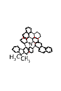 CC1(C)c2ccccc2-c2c(-c3ccccc3N(c3ccccc3-c3cccc4c3ccc3ccccc34)c3ccccc3-c3cccc4cccc(C5CCCCC5)c34)cccc21